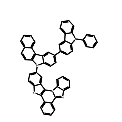 c1ccc(-n2c3ccccc3c3cc(-c4ccc5c(c4)c4c6ccccc6ccc4n5-c4ccc5oc6c7ccccc7c7nc8ccccc8n7c6c5c4)ccc32)cc1